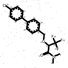 CN(C)C(=O)C(OCc1ccc(-c2ccc(Cl)cc2)cc1)C(F)(F)F